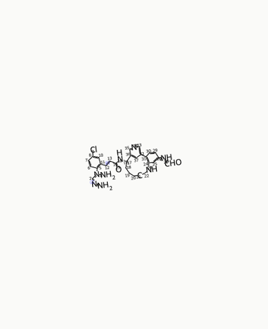 N/N=C\N(N)c1ccc(Cl)cc1/C=C/C(=O)N[C@H]1CCCCCNc2cc(NC=O)ccc2-c2cncc1c2